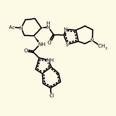 CC(=O)N1CC[C@@H](NC(=O)c2nc3c(s2)CN(C)CC3)[C@@H](NC(=O)c2cc3cc(Cl)ccc3[nH]2)C1